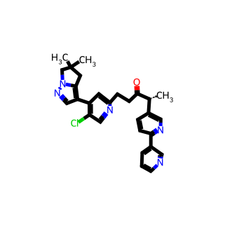 C[C@@H](C(=O)CCc1cc(-c2cnn3c2CC(C)(C)C3)c(Cl)cn1)c1ccc(-c2cccnc2)nc1